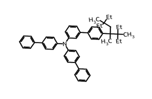 CCC(C)(CC)CC(C)(c1ccc(-c2cccc(N(c3ccc(-c4ccccc4)cc3)c3ccc(-c4ccccc4)cc3)c2)cc1)C(C)(CC)CC